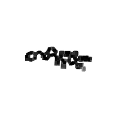 COc1cc(OC)c(C(F)(F)F)cc1NC(=O)Nc1cccc2c1ccn2Cc1ccncc1